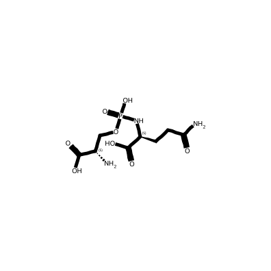 NC(=O)CC[C@H](NP(=O)(O)OC[C@H](N)C(=O)O)C(=O)O